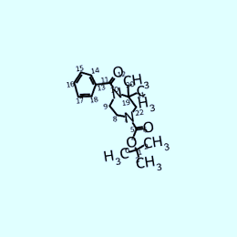 CC(C)(C)OC(=O)N1CCN(C(=O)c2ccccc2)C(C)(C)C1